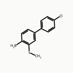 Bc1ccc(-c2ccc(Cl)cc2)cc1SC